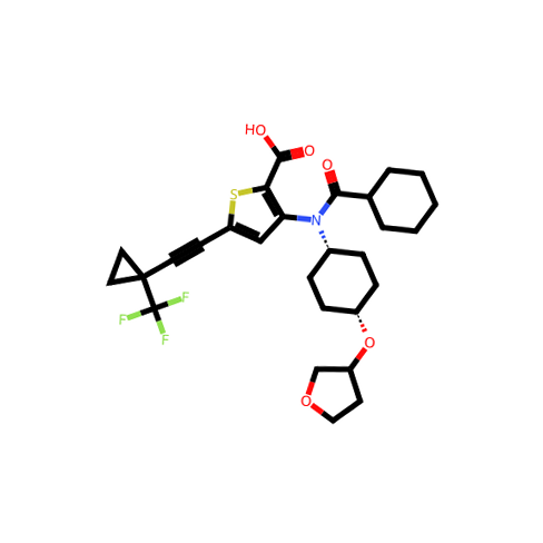 O=C(O)c1sc(C#CC2(C(F)(F)F)CC2)cc1N(C(=O)C1CCCCC1)[C@H]1CC[C@@H](OC2CCOC2)CC1